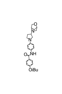 CC(C)COc1ccc(C(=O)Nc2ccc(N3CCC(N4CC5CC4CO5)C3)cc2)cc1